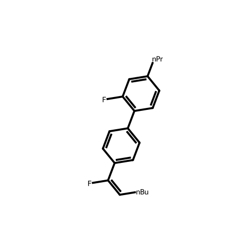 CCCC/C=C(/F)c1ccc(-c2ccc(CCC)cc2F)cc1